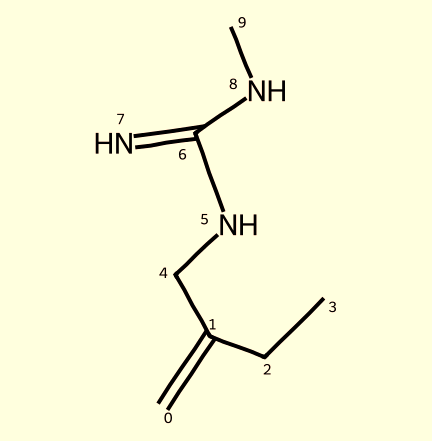 C=C(CC)CNC(=N)NC